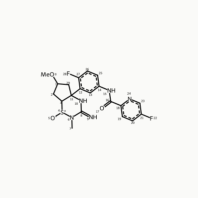 COC1CC2[S+]([O-])N(C)C(=N)NC2(c2cc(NC(=O)c3ccc(F)cn3)ccc2F)C1